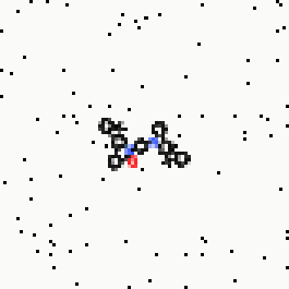 CC1(C)c2ccccc2-c2cc3c4ccccc4c(=O)n(-c4ccc(-n5c6ccccc6c6cc7c(cc65)C(C)(C)c5ccccc5-7)cc4)c3cc21